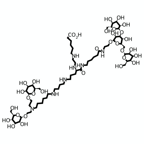 O=C(O)CCCCCNCCNC(CCCNCCCCNCCCCCCN(CCO[C@H]1O[C@H](CO)[C@@H](O)[C@H](O)[C@@H]1O)CCO[C@H]1O[C@H](CO)[C@@H](O)[C@H](O)[C@@H]1O)C(=O)NCCCCCC(=O)NCCO[C@H]1O[C@H](CO[C@H]2O[C@H](CO)[C@@H](O)[C@H](O)[C@@H]2O)[C@@H](O)[C@H](O[C@H]2O[C@H](CO)[C@@H](O)[C@H](O)[C@@H]2O)[C@@H]1O